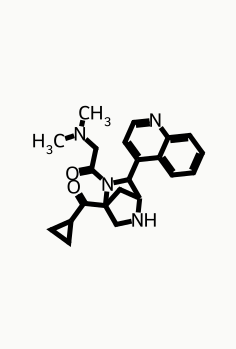 CN(C)CC(=O)N1C(c2ccnc3ccccc23)C2CC1(C(=O)C1CC1)CN2